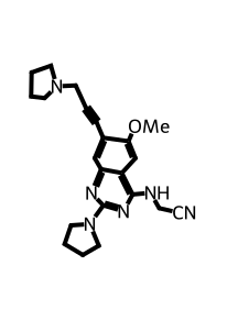 COc1cc2c(NCC#N)nc(N3CCCC3)nc2cc1C#CCN1CCCC1